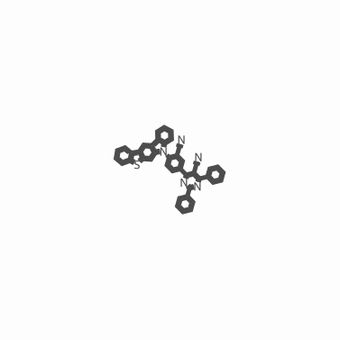 N#Cc1cc(-c2nc(-c3ccccc3)nc(-c3ccccc3)c2C#N)ccc1-n1c2ccccc2c2cc3c(cc21)sc1ccccc13